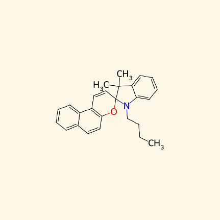 CCCCN1c2ccccc2C(C)(C)C12C=Cc1c(ccc3ccccc13)O2